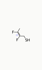 C/C(F)=C(/F)CS